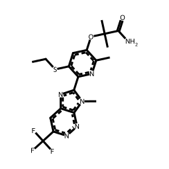 CCSc1cc(OC(C)(C)C(N)=O)c(C)nc1-c1nc2cc(C(F)(F)F)nnc2n1C